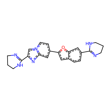 c1cc2cc(-c3ccn4cc(C5=NCCCN5)nc4c3)oc2cc1C1=NCCCN1